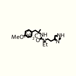 CCN(CCc1c[nH]cn1)C(=O)N[C@@](C)(Cc1ccc(OC)cc1)C(=O)O